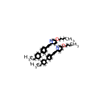 CCCCCOc1ccc(C#Cc2ccc([C@H]3CC[C@H](CC)CC3)cc2)nc1.CCCCOc1ccc(C#Cc2ccc([C@H]3CC[C@H](CC)CC3)cc2)nc1